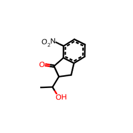 CC(O)C1Cc2cccc([N+](=O)[O-])c2C1=O